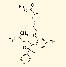 Cc1ccc(N(CCN(C)C)S(=O)(=O)c2ccccc2)c(OCCCCNC(=O)OC(C)(C)C)c1